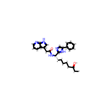 CCC(=O)CCCCC[C@H](NC(=O)Cc1c[nH]c2ncccc12)c1ncc(-c2ccccc2)[nH]1